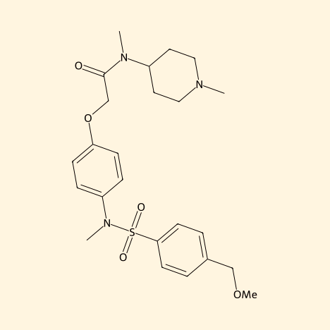 COCc1ccc(S(=O)(=O)N(C)c2ccc(OCC(=O)N(C)C3CCN(C)CC3)cc2)cc1